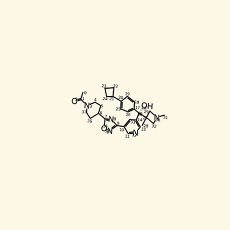 CC(=O)N1CCC(c2nc(-c3cncc([C@@](O)(c4ccc(C5CCC5)cc4)C4(C)CN(C)C4)c3)no2)CC1